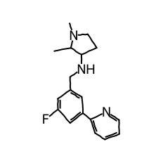 CC1C(NCc2cc(F)cc(-c3ccccn3)c2)CCN1C